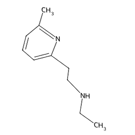 CCNCCc1cccc(C)n1